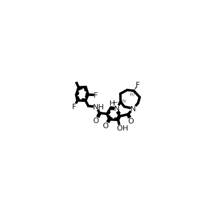 Cc1cc(F)c(CNC(=O)c2cn3c(c(O)c2=O)C(=O)N2CC[C@@H](F)CC[C@H]3C2)c(F)c1